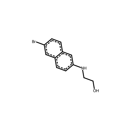 OCCNc1ccc2cc(Br)ccc2c1